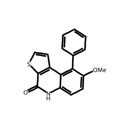 COc1ccc2[nH]c(=O)c3sccc3c2c1-c1c[c]ccc1